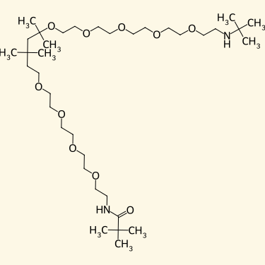 CC(C)(CCOCCOCCOCCOCCNC(=O)C(C)(C)C)CC(C)(C)OCCOCCOCCOCCOCCNC(C)(C)C